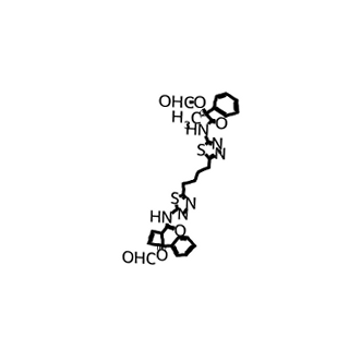 C[C@@](OC=O)(C(=O)Nc1nnc(CCCCc2nnc(NC(=O)C3C=C[C@]3(OC=O)c3ccccc3)s2)s1)c1ccccc1